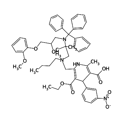 CCCCN(CC1=C(C(=O)OCC)C(c2cccc([N+](=O)[O-])c2)C(C(=O)O)=C(C)N1)CC(C)(C)N(CC(O)COc1ccccc1OC)C(c1ccccc1)(c1ccccc1)c1ccccc1